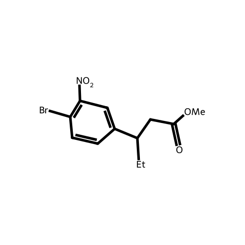 CCC(CC(=O)OC)c1ccc(Br)c([N+](=O)[O-])c1